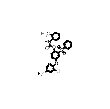 Cc1ccccc1NC(=O)Oc1ccc(Oc2ncc(C(F)(F)F)cc2Cl)cc1S(=O)(=O)c1ccccc1